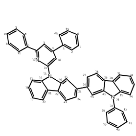 c1ccc(-c2cc(-c3ccccc3)nc(-n3c4ccccc4c4ccc(-c5ccc6c7ccccc7n(-c7ccccc7)c6c5)cc43)c2)cc1